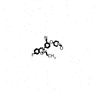 CCC[S+]([O-])N(Cc1ccc(F)cc1)c1ccc(OC2CCN(C=O)CC2)c(C#N)c1